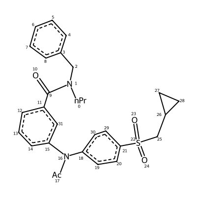 CCCN(Cc1ccccc1)C(=O)c1cccc(N(C(C)=O)c2ccc(S(=O)(=O)CC3CC3)cc2)c1